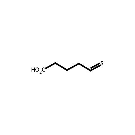 O=C(O)CCC[C]=S